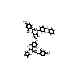 Clc1ccc(C(Cn2ccnc2)OCc2ccc(Sc3ccccc3)cc2)c(Cl)c1.Clc1ccc(CO/N=C(/Cn2ccnc2)c2ccc(Cl)cc2Cl)c(Cl)c1